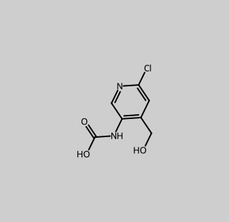 O=C(O)Nc1cnc(Cl)cc1CO